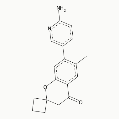 Cc1cc2c(cc1-c1ccc(N)nc1)OC1(CCC1)CC2=O